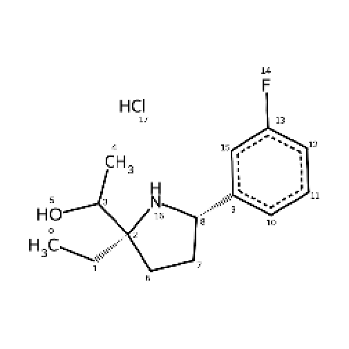 CC[C@@]1(C(C)O)CC[C@@H](c2cccc(F)c2)N1.Cl